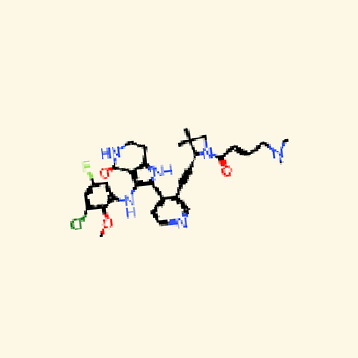 COc1c(Cl)cc(F)cc1Nc1c(-c2ccncc2C#C[C@@H]2N(C(=O)/C=C/CN(C)C)CC2(C)C)[nH]c2c1C(=O)NCC2